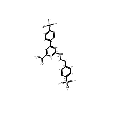 NC(=O)c1cc(-c2ccc(C(F)(F)F)cc2)nc(NCCc2ccc(S(N)(=O)=O)cc2)n1